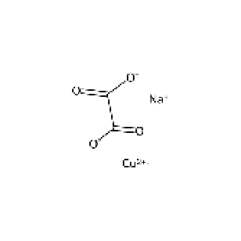 O=C([O-])C(=O)[O-].[Cu+2].[Na+]